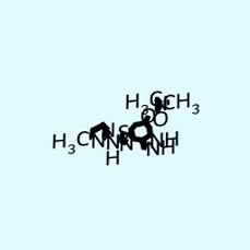 Cc1ccnc(Nc2nc3c(s2)CC(OC(=O)N(C)C)CC2NNC=C32)n1